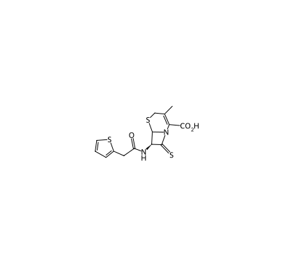 CC1=C(C(=O)O)N2C(=S)[C@@H](NC(=O)Cc3cccs3)C2SC1